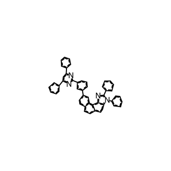 c1ccc(-c2cc(-c3ccccc3)nc(-c3cccc(-c4ccc5ccc6ccc7c(nc(-c8ccccc8)n7-c7ccccc7)c6c5c4)c3)n2)cc1